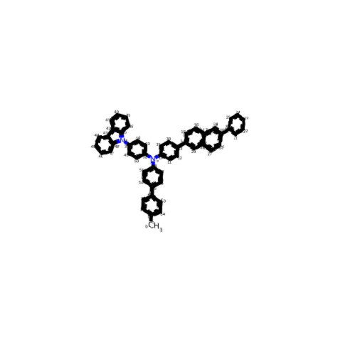 Cc1ccc(-c2ccc(N(c3ccc(-c4ccc5cc(-c6ccccc6)ccc5c4)cc3)c3ccc(-n4c5ccccc5c5ccccc54)cc3)cc2)cc1